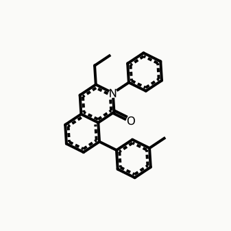 CCc1cc2cccc(-c3cccc(C)c3)c2c(=O)n1-c1ccccc1